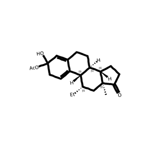 CC[C@H]1C[C@]2(C)C(=O)CC[C@H]2[C@@H]2CCC3=CC(O)(OC(C)=O)CC=C3[C@@H]12